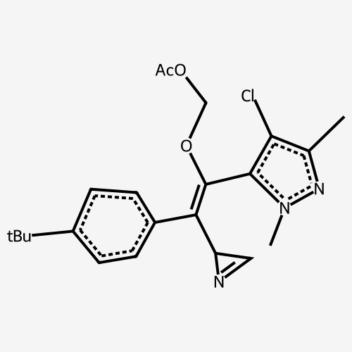 CC(=O)OCO/C(=C(\c1ccc(C(C)(C)C)cc1)C1C=N1)c1c(Cl)c(C)nn1C